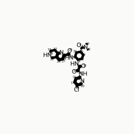 CN(C)C(=O)[C@H]1CC[C@H](NC(=O)C(=O)Nc2ccc(Cl)cn2)[C@H](NC(=O)c2ccc3c(n2)CCNC3)C1